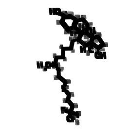 CN(CCCCC[C@H]1C[C@]2(C)[C@@H](O)CC[C@H]2[C@@H]2CCc3cc(O)ccc3[C@@H]12)CCCSCCCC(F)(F)C(F)(F)F